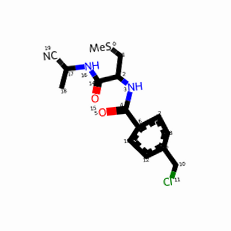 CSCC(NC(=O)c1ccc(CCl)cc1)C(=O)NC(C)C#N